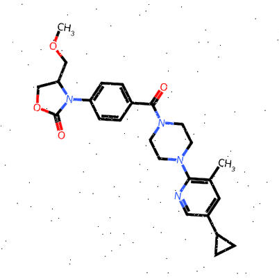 COCC1COC(=O)N1c1ccc(C(=O)N2CCN(c3ncc(C4CC4)cc3C)CC2)cc1